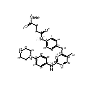 CNC(=O)CCC(=O)Nc1ccc(Sc2nc(Nc3ccc(N4CCOCC4)cc3)ncc2C)cc1